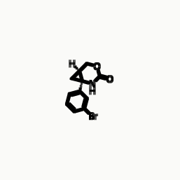 O=C1N[C@@]2(c3cccc(Br)c3)C[C@H]2CO1